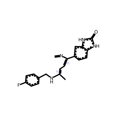 C=N/C(=C\C=C(/C)NCc1ccc(F)cc1)c1ccc2[nH]c(=O)[nH]c2c1